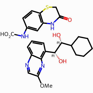 COc1cnc2cccc([C@@H](O)[C@H](O)C3CCCCC3)c2n1.O=C(O)Nc1ccc2c(c1)NC(=O)CS2